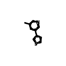 Cc1cncc(-c2ccsc2)c1